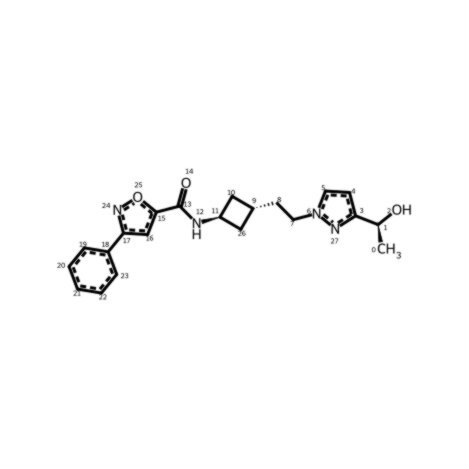 C[C@H](O)c1ccn(CC[C@H]2C[C@H](NC(=O)c3cc(-c4ccccc4)no3)C2)n1